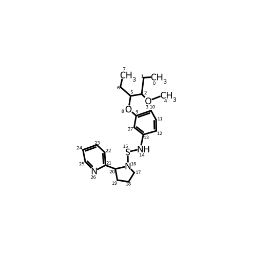 CCC(OC)C(CC)Oc1cccc(NSN2CCCC2c2ccccn2)c1